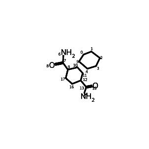 C1CCCCC1.NC(=O)C1CCC(C(N)=O)CC1